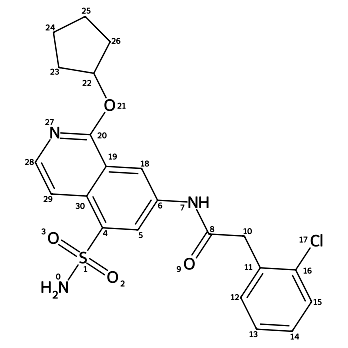 NS(=O)(=O)c1cc(NC(=O)Cc2ccccc2Cl)cc2c(OC3CCCC3)nccc12